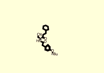 CCCCOc1ccc(CC(=O)NN(CC#N)C(=O)CCC2CCCCC2)cc1